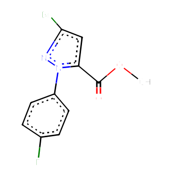 COC(=O)c1cc(Br)nn1-c1ccc(F)cc1